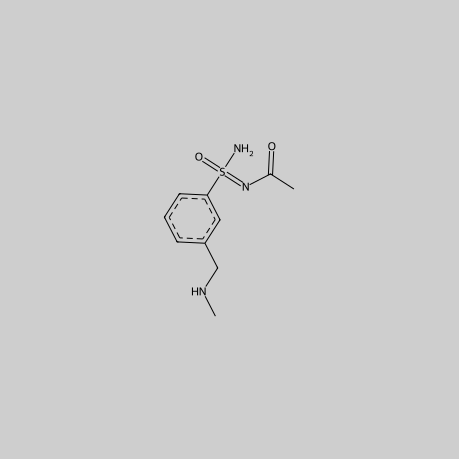 CNCc1cccc(S(N)(=O)=NC(C)=O)c1